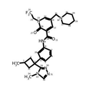 CC1CC(c2cccc(NC(=O)c3cc(CN4CCCCC4)cn(CC(F)(F)F)c3=O)c2)(c2nncn2C)C1